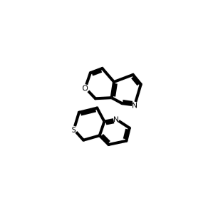 C1=Cc2ccncc2CO1.C1=Cc2ncccc2CS1